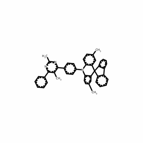 Cc1ccc2c(c1)C1(c3ccccc3-c3ccccc31)c1cc(C)ccc1N2c1ccc(-c2nc(C)nc(-c3ccccc3)c2C)cc1